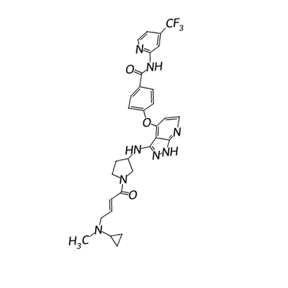 CN(C/C=C/C(=O)N1CCC(Nc2n[nH]c3nccc(Oc4ccc(C(=O)Nc5cc(C(F)(F)F)ccn5)cc4)c23)C1)C1CC1